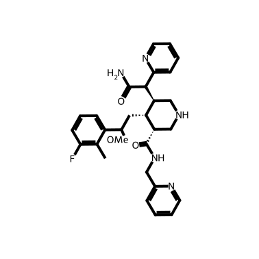 COC(C[C@H]1[C@@H](C(=O)NCc2ccccn2)CNC[C@@H]1C(C(N)=O)c1ccccn1)c1cccc(F)c1C